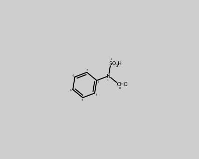 O=[C]N(c1ccccc1)S(=O)(=O)O